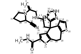 C=C(CN[C@H](C)CC1(c2nn[nH]n2)c2ccsc2CCc2sc(C(=O)NC)cc21)N1CCCC1C#N